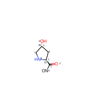 O=NC(=O)[C@@H]1C[C@@H](O)CN1